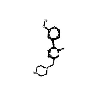 CCOc1cccc(-c2ccc(CN3CCNCC3)cc2C)c1